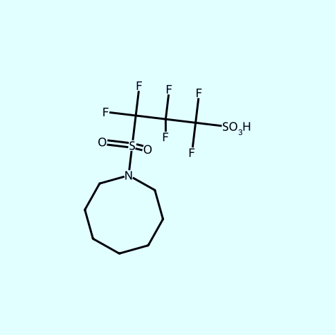 O=S(=O)(O)C(F)(F)C(F)(F)C(F)(F)S(=O)(=O)N1CCCCCCC1